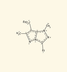 CCOC(=O)c1c(C)nn2c(CC)nn(C)c12